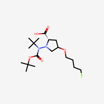 CC(C)(C)OC(=O)N(N1CC(OCCCCF)C[C@H]1C(=O)O)C(C)(C)C